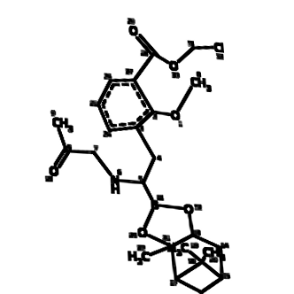 COc1c(CC(NCC(C)=O)B2OC3CC4CC(C4(C)C)C3(C)O2)cccc1C(=O)OCCl